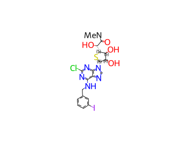 CNC(=O)C(O)[C@H]1S[C@@H](n2cnc3c(NCc4cccc(I)c4)nc(Cl)nc32)[C@H](O)[C@@H]1O